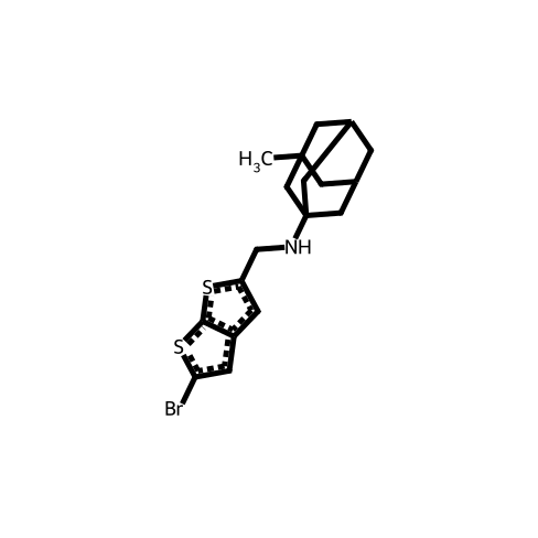 CC12CC3CC(C1)CC(NCc1cc4cc(Br)sc4s1)(C3)C2